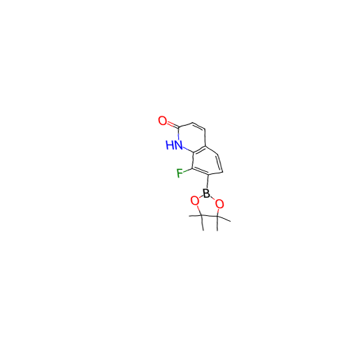 CC1(C)OB(c2ccc3ccc(=O)[nH]c3c2F)OC1(C)C